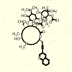 CCC(=O)O[C@@H]1CC(=O)O[C@@H](CC#Cc2cnc3ccccc3c2)CCCN(C)C[C@H](O)[C@H](C)C[C@H](CC=O)[C@H](O[C@@H]2OC(C)[C@@H](O[C@H]3CC(C)(OC(C)=O)[C@@H](OC(=O)CC)C(C)O3)C(N(C)C)C2O)[C@H]1OC